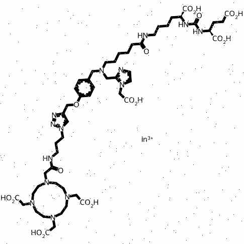 O=C(O)CC[C@H](NC(=O)N[C@@H](CCCCNC(=O)CCCCCN(Cc1ccc(OCc2cn(CCCNC(=O)CN3CCN(CC(=O)O)CCN(CC(=O)O)CCN(CC(=O)O)CC3)nn2)cc1)Cc1nccn1CC(=O)O)C(=O)O)C(=O)O.[In+3]